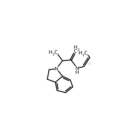 C=C(N/C=C\C)C(C)N1CCc2ccccc21